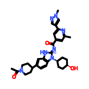 CC(=O)N1CCC(c2ccc3c(c2)[nH]/c(=N\C(=O)c2cc(C)nc(-c4cnn(C)c4)c2)n3[C@H]2CC[C@@H](O)CC2)CC1